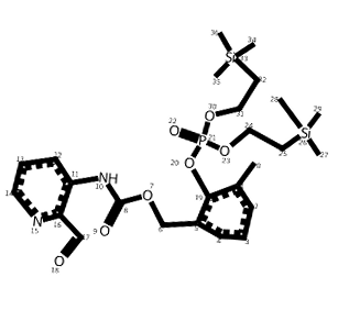 Cc1cccc(COC(=O)Nc2cccnc2C=O)c1OP(=O)(OCC[Si](C)(C)C)OCC[Si](C)(C)C